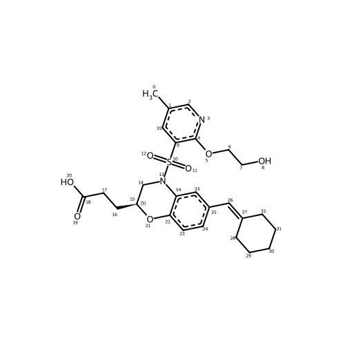 Cc1cnc(OCCO)c(S(=O)(=O)N2C[C@H](CCC(=O)O)Oc3ccc(C=C4CCCCC4)cc32)c1